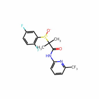 CC(C)(C(=O)Nc1cccc(C(F)(F)F)n1)[S+]([O-])c1cc(F)ccc1F